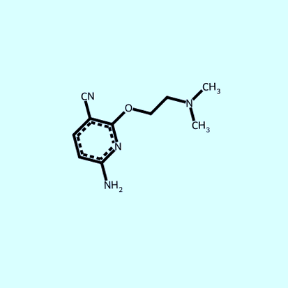 CN(C)CCOc1nc(N)ccc1C#N